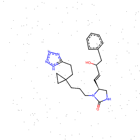 O=C1NC[C@H](C=CC(O)Cc2ccccc2)N1CCCC1(CCc2nnn[nH]2)CC1